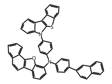 c1ccc2cc(-c3ccc(N(c4ccc(-n5c6ccccc6c6c7ccccc7sc65)cc4)c4cccc5c4oc4c6ccccc6ccc54)cc3)ccc2c1